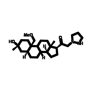 COC[C@]12CC[C@@](C)(O)C[C@@H]1CC[C@@H]1C2CC[C@]2(C)[C@@H](C(=O)CN3CCCN3)CC[C@@H]12